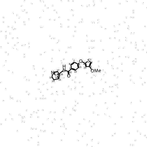 COc1csc(Oc2ccc(C(=O)NC3CC4CCN(CC4)C3)cc2)c1